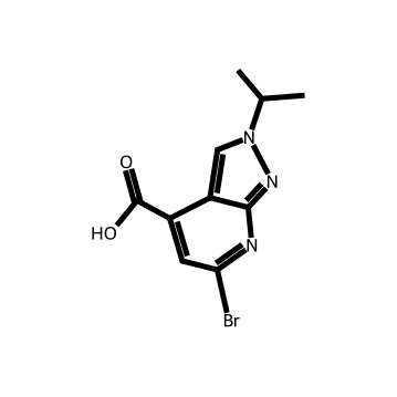 CC(C)n1cc2c(C(=O)O)cc(Br)nc2n1